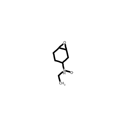 CC[SiH]([O])C1CCC2OC2C1